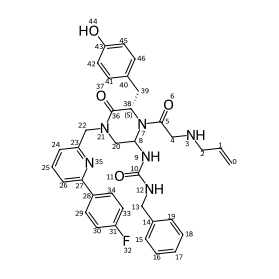 C=CCNCC(=O)N1C(NC(=O)NCc2ccccc2)CN(Cc2cccc(-c3ccc(F)cc3)n2)C(=O)[C@@H]1Cc1ccc(O)cc1